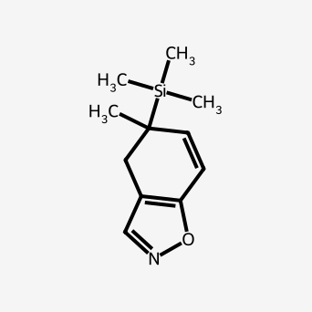 CC1([Si](C)(C)C)C=Cc2oncc2C1